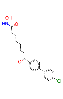 O=C(CCCCCCC(=O)c1ccc(-c2ccc(Cl)cc2)cc1)NO